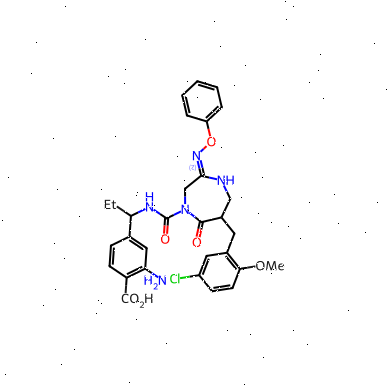 CCC(NC(=O)N1C/C(=N/Oc2ccccc2)NCC(Cc2cc(Cl)ccc2OC)C1=O)c1ccc(C(=O)O)c(N)c1